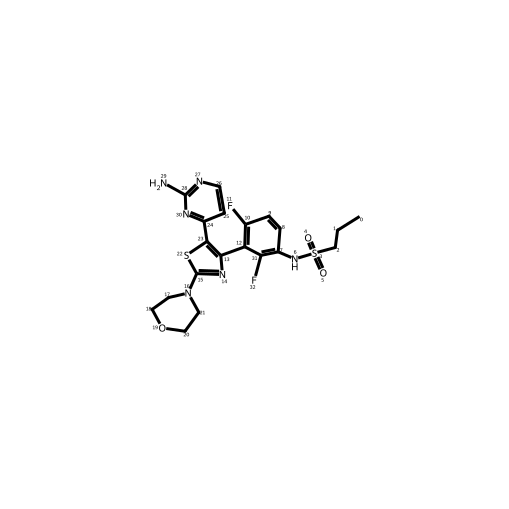 CCCS(=O)(=O)Nc1ccc(F)c(-c2nc(N3CCOCC3)sc2-c2ccnc(N)n2)c1F